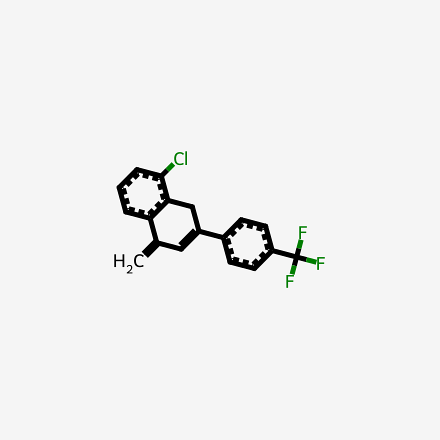 C=C1C=C(c2ccc(C(F)(F)F)cc2)Cc2c(Cl)cccc21